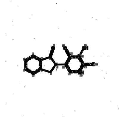 O=C1c2ccccc2CN1c1c[nH]c(=O)n(O)c1=O